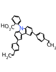 C=Cc1ccc(-c2ccc3c(c2)c2cc(-c4ccc(C=C)cc4)ccc2n3-c2ccccc2C(=O)O)cc1